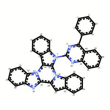 c1ccc(-c2nc(-n3c4ccccc4c4c3n3c5ccccc5cc3c3nc5ccccc5n34)nc3ccccc23)cc1